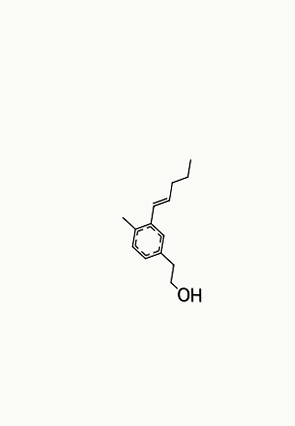 CCCC=Cc1cc(CCO)ccc1C